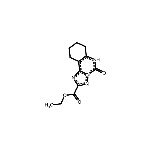 CCOC(=O)c1nc2c3c([nH]c(=O)n2n1)CCCC3